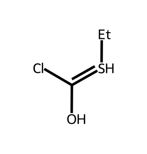 CC[SH]=C(O)Cl